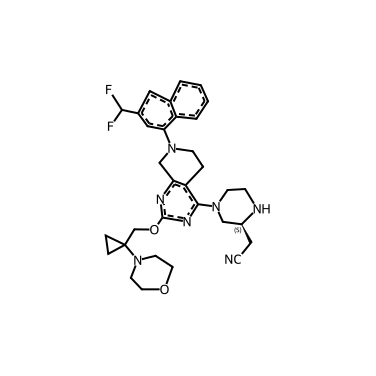 N#CC[C@H]1CN(c2nc(OCC3(N4CCOCC4)CC3)nc3c2CCN(c2cc(C(F)F)cc4ccccc24)C3)CCN1